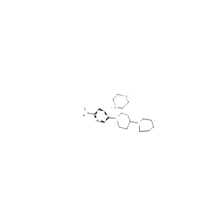 C1CNCCN1.O=[N+]([O-])c1ccc(N2CCC(N3CCCCC3)CC2)cn1